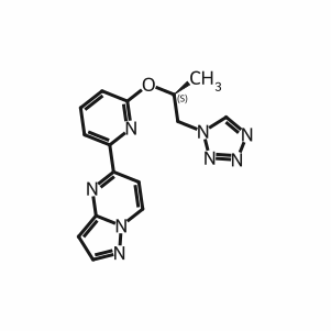 C[C@@H](Cn1cnnn1)Oc1cccc(-c2ccn3nccc3n2)n1